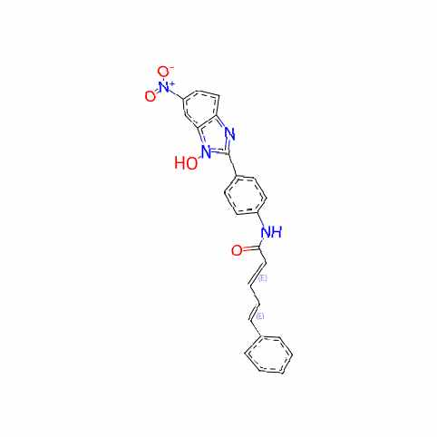 O=C(/C=C/C=C/c1ccccc1)Nc1ccc(-c2nc3ccc([N+](=O)[O-])cc3n2O)cc1